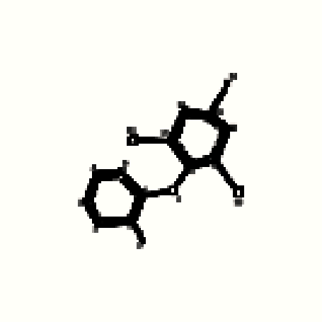 Cc1cccnc1Oc1c(Cl)cc(F)cc1Cl